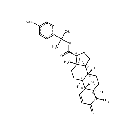 COc1ccc(C(C)(C)NC(=O)[C@H]2CC[C@H]3[C@@H]4CC[C@H]5N(C)C(=O)C=C[C@]5(C)[C@H]4CC[C@]23C)cc1